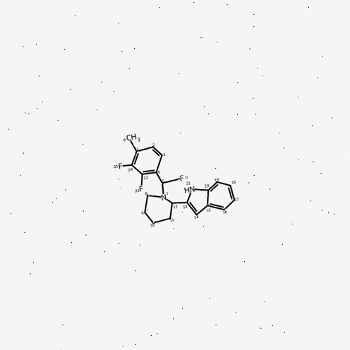 Cc1ccc(C(F)N2CCCCC2c2cc3ccccc3[nH]2)c(F)c1F